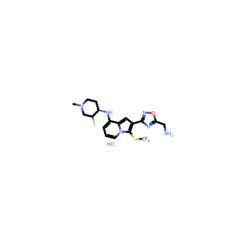 CN1CC[C@@H](Nc2cccn3c(SC(F)(F)F)c(-c4noc(CN)n4)cc23)[C@@H](F)C1.Cl